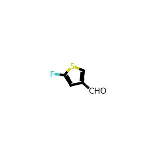 O=Cc1csc(F)c1